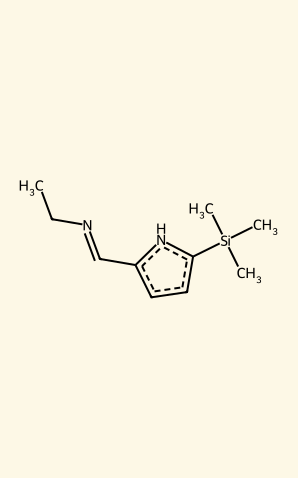 CC/N=C/c1ccc([Si](C)(C)C)[nH]1